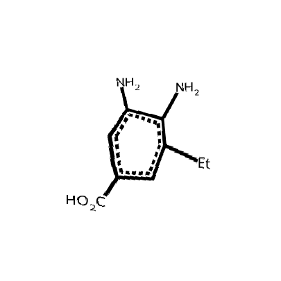 CCc1cc(C(=O)O)cc(N)c1N